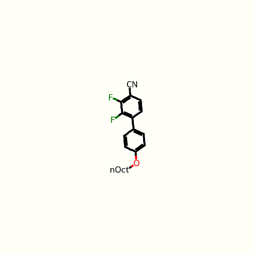 CCCCCCCCOc1ccc(-c2ccc(C#N)c(F)c2F)cc1